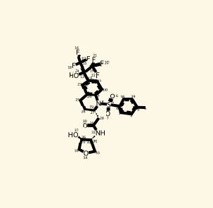 Cc1ccc(S(=O)(=O)N2c3ccc(C(O)(C(F)(F)F)C(F)(F)F)cc3CC[C@H]2CC(=O)N[C@@H]2COC[C@H]2O)cc1